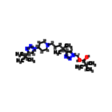 CC(C)(C)C(=O)OCn1cc(C(C)(C)CCCN2CCC(n3cc(C(C)(C)C)nn3)CC2)nn1